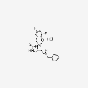 Cl.Fc1cc(F)c2c(c1)C[C@@H](n1c(CCNCc3ccccc3)c[nH]c1=S)CO2